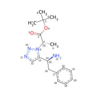 C[C@@H](C(=O)OC(C)(C)C)n1nncc1[C@@H](N)Cc1ccccc1